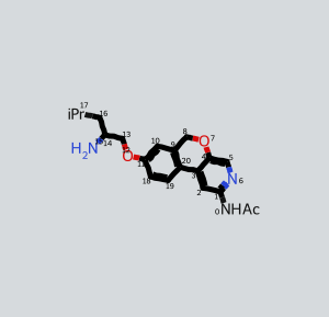 CC(=O)Nc1cc2c(cn1)OCc1cc(OCC(N)CC(C)C)ccc1-2